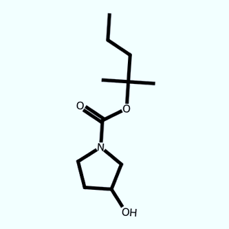 CCCC(C)(C)OC(=O)N1CCC(O)C1